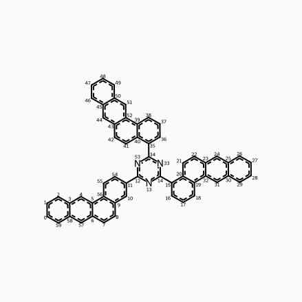 c1ccc2cc3c(ccc4cc(-c5nc(-c6cccc7c6ccc6cc8ccccc8cc67)nc(-c6cccc7c6ccc6cc8ccccc8cc67)n5)ccc43)cc2c1